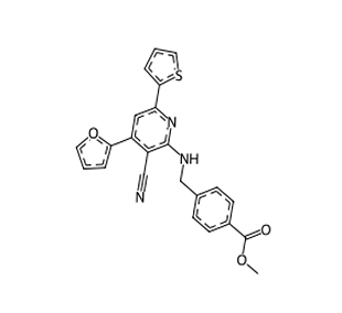 COC(=O)c1ccc(CNc2nc(-c3cccs3)cc(-c3ccco3)c2C#N)cc1